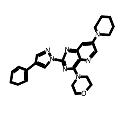 C1=CC(c2cnn(-c3nc(N4CCOCC4)c4ncc(N5CCCCC5)cc4n3)c2)=CCC1